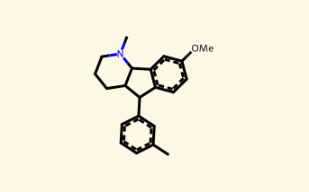 COc1ccc2c(c1)C1C(CCCN1C)C2c1cccc(C)c1